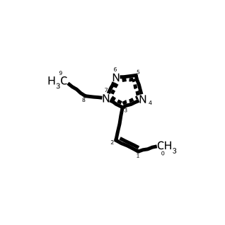 C/C=C\c1ncnn1CC